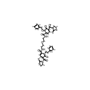 O=C(NCCOCCNC(=O)c1ccc(C(=O)N2CCSC2=S)c(=O)n1OCc1ccccc1)c1ccc(C(=O)N2CCSC2=S)c(=O)n1OCc1ccccc1